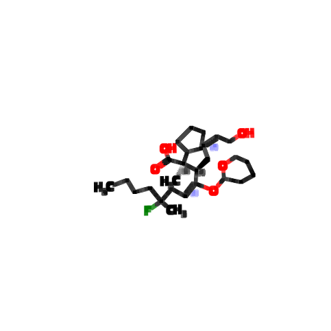 CCCCC(C)(F)C/C=C(/OC1CCCCO1)[C@H](C/C=C\CO)[C@@](C)(C(=O)O)C1CCCC1